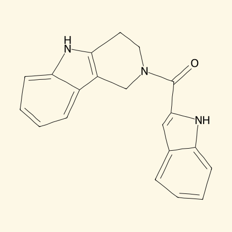 O=C(c1cc2ccccc2[nH]1)N1CCc2[nH]c3ccccc3c2C1